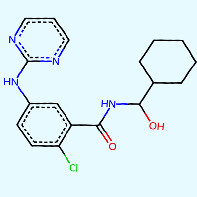 O=C(NC(O)C1CCCCC1)c1cc(Nc2ncccn2)ccc1Cl